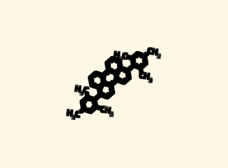 Cc1cc(C)c(-c2ccc3c4ccc(-c5c(C)cc(C)cc5C)c5cccc(c6cccc2c63)c54)c(C)c1